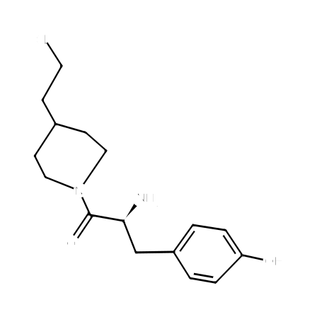 N[C@@H](Cc1ccc(O)cc1)C(=O)N1CCC(CCCl)CC1